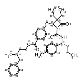 CCC[C@@H](NC(=O)N1C(=O)C(CC)(CC)[C@@H]1Oc1ccc(C(=O)OCCN(C)Cc2ccccc2)cc1)c1ccc(C)cc1